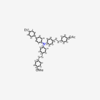 CCc1ccc(-c2ccc(N(c3ccc(CCc4ccc(OC)cc4)cc3)c3ccc(CCc4ccc(OC(C)=O)cc4)cc3)cc2)cc1